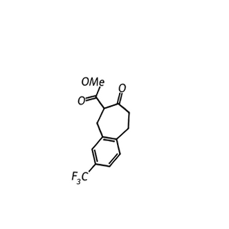 COC(=O)C1Cc2cc(C(F)(F)F)ccc2CCC1=O